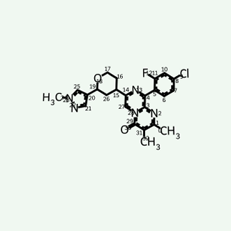 Cc1nc2c(-c3ccc(Cl)cc3F)nc(C3CCOC(c4cnn(C)c4)C3)cn2c(=O)c1C